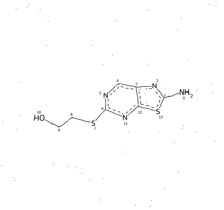 Nc1nc2cnc(SCCO)nc2s1